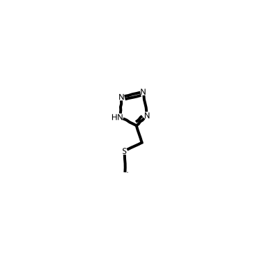 [CH2]SCc1nnn[nH]1